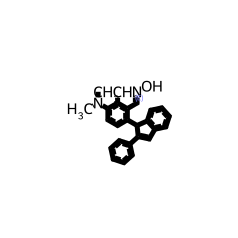 Cc1c(N(C)C)ccc(C2C(c3ccccc3)=Cc3ccccc32)c1/C=N/O